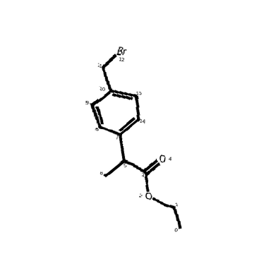 CCOC(=O)C(C)c1ccc(CBr)cc1